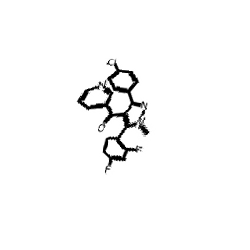 Cn1nc(-c2ccc(Cl)cc2)c(C(=O)c2cccnc2)c1-c1ccc(F)cc1F